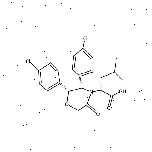 CC(C)C[C@H](C(=O)O)N1C(=O)CO[C@H](c2ccc(Cl)cc2)[C@@H]1c1ccc(Cl)cc1